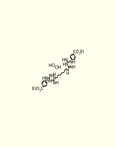 CCOC(=O)c1ccc(NC(=N)NC(=N)NCCCCCCNC(=N)NC(=N)Nc2ccc(C(=O)OCC)cc2)cc1.Cl.Cl